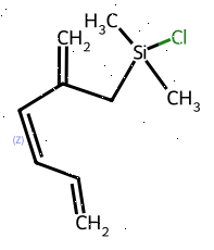 C=C/C=C\C(=C)C[Si](C)(C)Cl